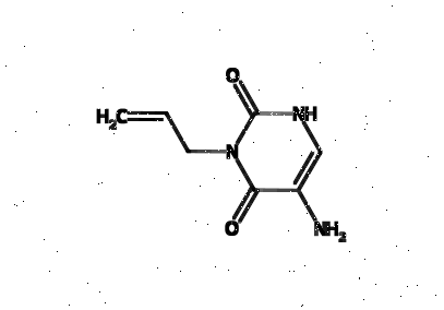 C=CCn1c(=O)[nH]cc(N)c1=O